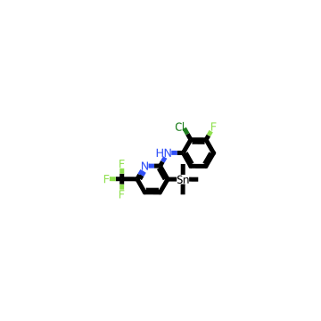 [CH3][Sn]([CH3])([CH3])[c]1ccc(C(F)(F)F)nc1Nc1cccc(F)c1Cl